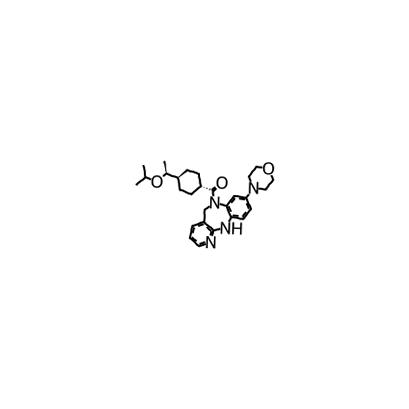 CC(C)O[C@@H](C)[C@H]1CC[C@H](C(=O)N2Cc3cccnc3Nc3ccc(N4CCOCC4)cc32)CC1